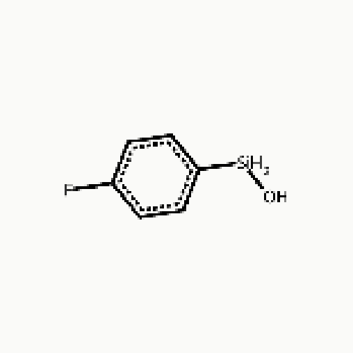 O[SiH2]c1ccc(F)cc1